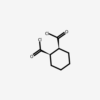 O=C(Cl)[C@H]1CCCC[C@H]1C(=O)Cl